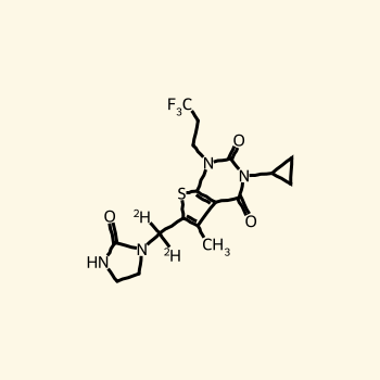 [2H]C([2H])(c1sc2c(c1C)c(=O)n(C1CC1)c(=O)n2CCC(F)(F)F)N1CCNC1=O